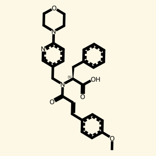 COc1ccc(C=CC(=O)N(Cc2ccc(N3CCOCC3)nc2)[C@@H](Cc2ccccc2)C(=O)O)cc1